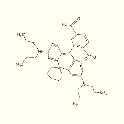 CCCN(CCC)c1ccc2c(c1)[Si]1(CCCCC1)C1=CC(=[N+](CCC)CCC)C=CC1=C2c1cc(C(=O)O)ccc1C(=O)[O-]